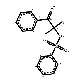 CC(C)(OS(=O)(=O)c1ccccc1)C(=O)c1ccccc1